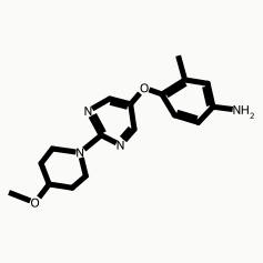 COC1CCN(c2ncc(Oc3ccc(N)cc3C)cn2)CC1